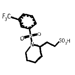 O=S(=O)(O)CCC1CCCCN1S(=O)(=O)c1cccc(C(F)(F)F)c1